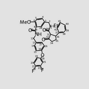 CC[C@@H](Cc1ccc(OC)c(C(=O)NCc2ccc(Oc3ccc(F)c(F)c3)cc2)c1)C(=O)C1C(=O)CCC1c1ccccc1